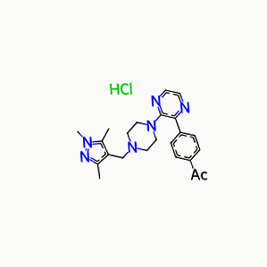 CC(=O)c1ccc(-c2nccnc2N2CCN(Cc3c(C)nn(C)c3C)CC2)cc1.Cl